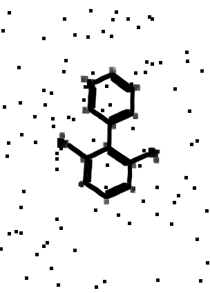 Brc1cccc(Br)c1-c1cc[c]nc1